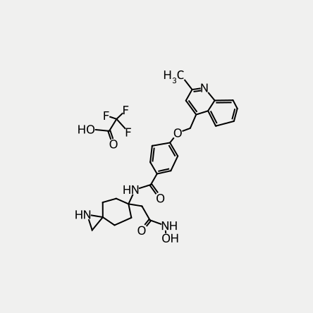 Cc1cc(COc2ccc(C(=O)NC3(CC(=O)NO)CCC4(CC3)CN4)cc2)c2ccccc2n1.O=C(O)C(F)(F)F